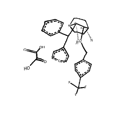 FC(F)(F)c1ccc(CO[C@@H]2C3CCN(CC3)[C@@H]2C(c2ccccc2)c2ccccc2)cc1.O=C(O)C(=O)O